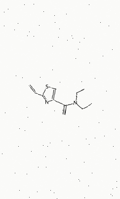 C=Cc1nc(C(=C)N(CC)CC)cs1